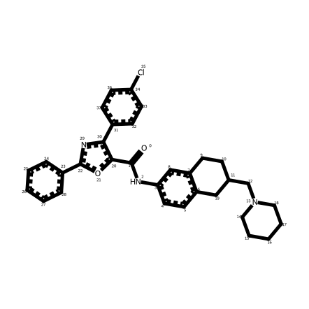 O=C(Nc1ccc2c(c1)CCC(CN1CCCCC1)C2)c1oc(-c2ccccc2)nc1-c1ccc(Cl)cc1